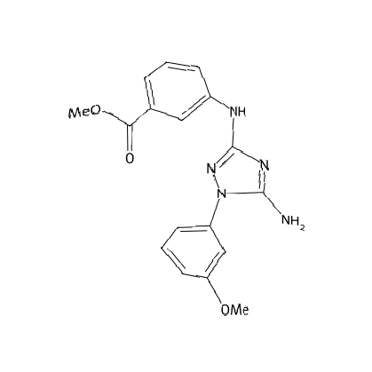 COC(=O)c1cccc(Nc2nc(N)n(-c3cccc(OC)c3)n2)c1